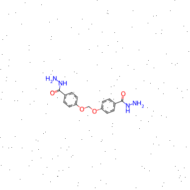 NNC(=O)c1ccc(OCOc2ccc(C(=O)NN)cc2)cc1